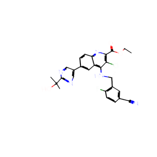 CCOC(=O)c1nc2ccc(-c3cnc(C(C)(C)O)nc3)cc2c(N[C@H](C)c2cc(C#N)ccc2F)c1Cl